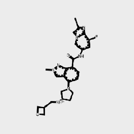 Cc1cn2cc(NC(=O)c3ccc(N4CC[C@@H](NCC5COC5)C4)c4cn(C)nc34)cc(F)c2n1